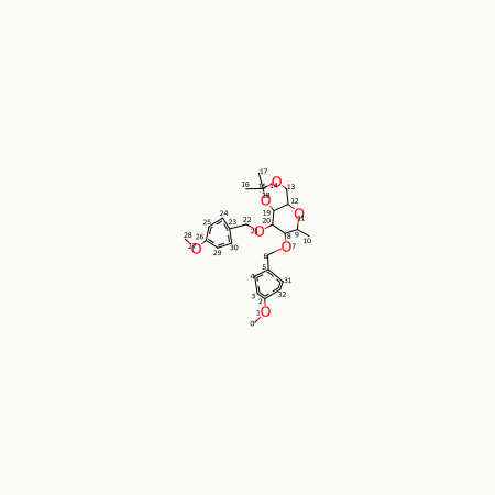 COc1ccc(COC2C(C)OC3COC(C)(C)OC3C2OCc2ccc(OC)cc2)cc1